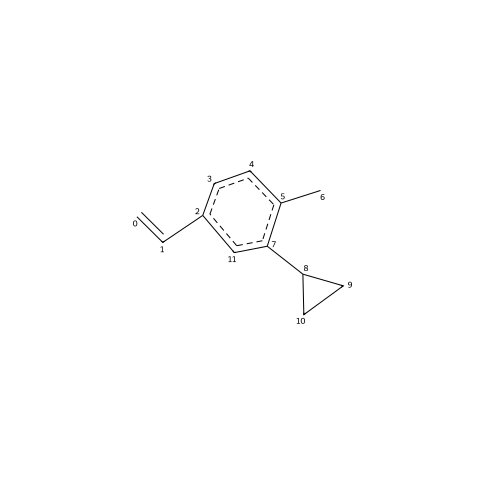 C=Cc1ccc(C)c(C2CC2)c1